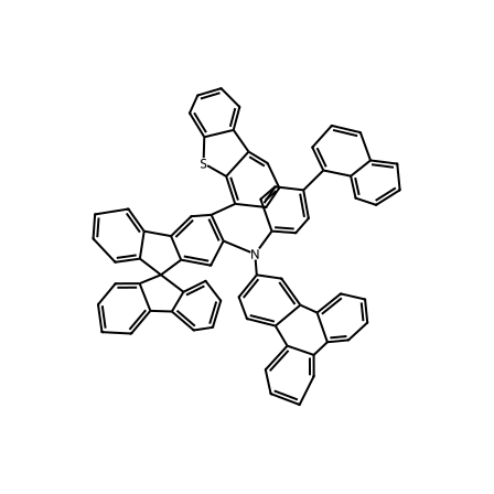 c1ccc2c(c1)-c1ccccc1C21c2ccccc2-c2cc(-c3cccc4c3sc3ccccc34)c(N(c3ccc(-c4cccc5ccccc45)cc3)c3ccc4c5ccccc5c5ccccc5c4c3)cc21